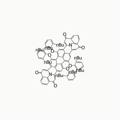 CCCCc1cccc(CCCC)c1Oc1cc2c3c(cc(Oc4c(CCCC)cccc4CCCC)c4c5c(Oc6c(CCCC)cccc6CCCC)cc6c7c(cc(Oc8c(CCCC)cccc8CCCC)c(c1c43)c57)c1cc(=O)c3cccc4c(=O)cc6n1c34)c1cc(=O)c3cccc4c(=O)cc2n1c43